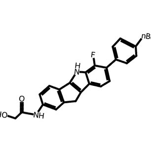 CCCCc1ccc(-c2ccc3c4c([nH]c3c2F)-c2ccc(NC(=O)CO)cc2C4)cc1